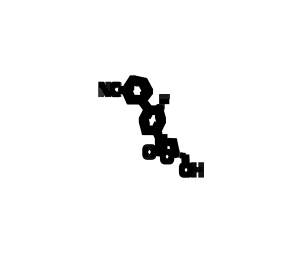 N#Cc1cccc(-c2ccc(N3C[C@H](CO)OC3=O)cc2F)c1